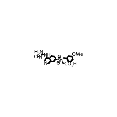 COc1cccc(CN(CC(=O)O)S(=O)(=O)c2ccc3c(NC(N)=NCl)cncc3c2)c1